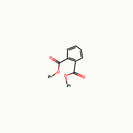 CC(C)OC(=O)c1[c]cccc1C(=O)OC(C)C